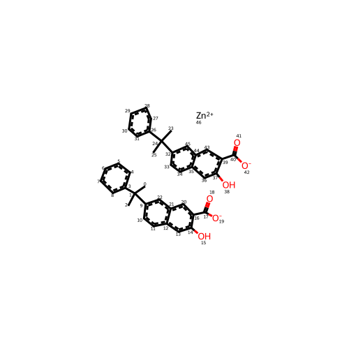 CC(C)(c1ccccc1)c1ccc2cc(O)c(C(=O)[O-])cc2c1.CC(C)(c1ccccc1)c1ccc2cc(O)c(C(=O)[O-])cc2c1.[Zn+2]